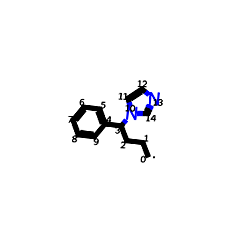 [CH2]CCC(c1ccccc1)n1ccnc1